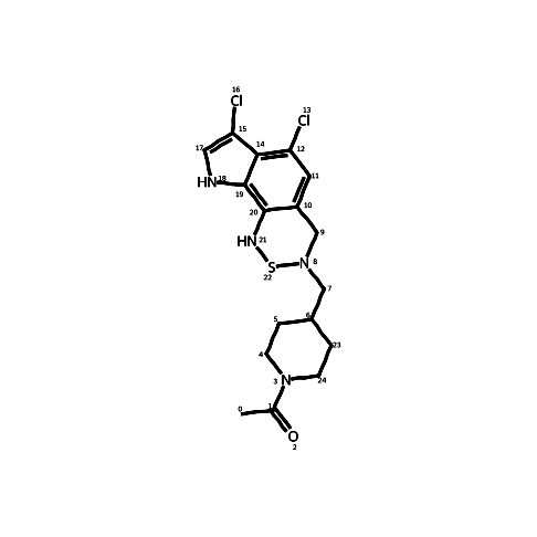 CC(=O)N1CCC(CN2Cc3cc(Cl)c4c(Cl)c[nH]c4c3NS2)CC1